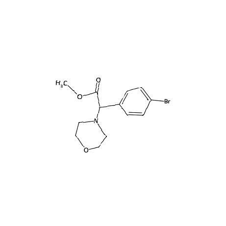 COC(=O)C(c1ccc(Br)cc1)N1CCOCC1